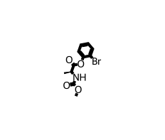 COC(=O)N[C@@H](C)C(=O)Oc1ccccc1Br